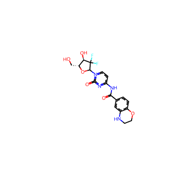 O=C(Nc1ccn(C2O[C@H](CO)[C@@H](O)C2(F)F)c(=O)n1)c1ccc2c(c1)NCCO2